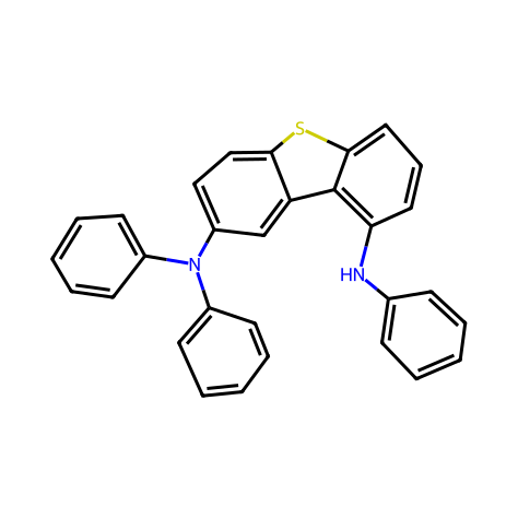 c1ccc(Nc2cccc3sc4ccc(N(c5ccccc5)c5ccccc5)cc4c23)cc1